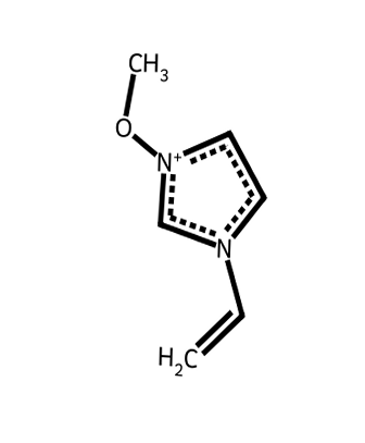 C=Cn1cc[n+](OC)c1